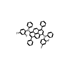 Fc1ccc(N(c2ccccc2)c2cc(-c3ccccc3)c3ccc4c(N(c5ccccc5)c5ccc(F)cc5F)cc(-c5ccccc5)c5ccc2c3c54)c(F)c1